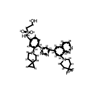 O=S(=O)(CCO)Nc1ccc(-n2cc(-c3cc(N4CCC(F)(F)CC4)c4nnccc4c3)nn2)c(N2CCC3(CC2)CC3)c1